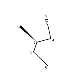 CC[C@@H](C)CF